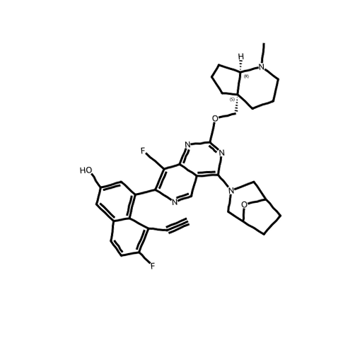 C#Cc1c(F)ccc2cc(O)cc(-c3ncc4c(N5CC6CCC(C5)O6)nc(OC[C@]56CCC[C@H]5N(C)CCC6)nc4c3F)c12